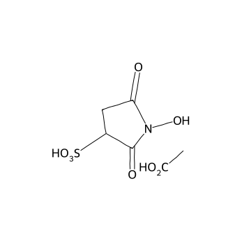 CC(=O)O.O=C1CC(S(=O)(=O)O)C(=O)N1O